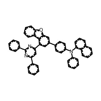 c1ccc(-c2cc(-c3cc(-c4ccc(N(c5ccccc5)c5cccc6ccccc56)cc4)cc4oc5ccccc5c34)nc(-c3ccccc3)n2)cc1